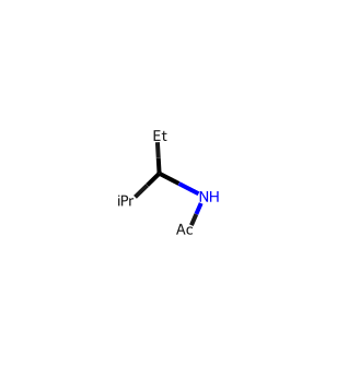 CCC(NC(C)=O)C(C)C